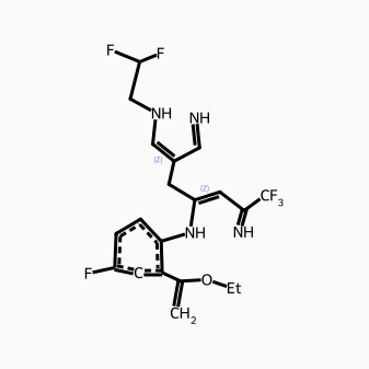 C=C(OCC)c1cc(F)ccc1N/C(=C\C(=N)C(F)(F)F)C/C(C=N)=C/NCC(F)F